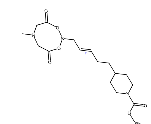 CN1CC(=O)OB(C/C=C/CCC2CCN(C(=O)OC(C)(C)C)CC2)OC(=O)C1